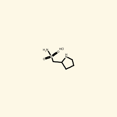 Cl.NS(=O)(=O)CC1CCCN1